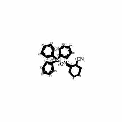 N#CC1CCCCC1=NO[Si](c1ccccc1)(c1ccccc1)c1ccccc1